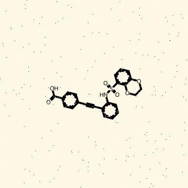 O=C(O)c1ccc(C#Cc2ccccc2NS(=O)(=O)c2cccc3c2OCCO3)cc1